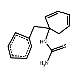 NC(=S)NC1(Cc2ccccc2)C=CC=CC1